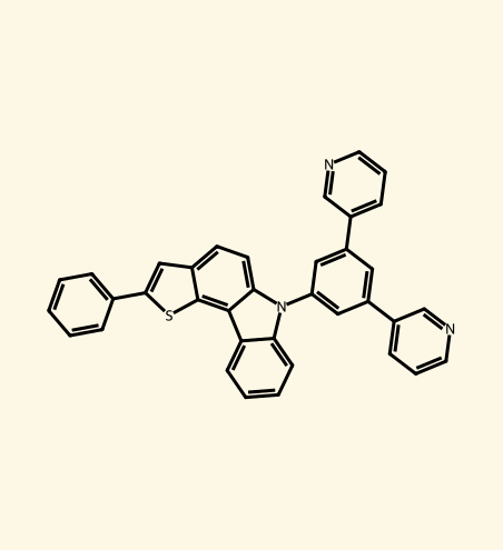 c1ccc(-c2cc3ccc4c(c5ccccc5n4-c4cc(-c5cccnc5)cc(-c5cccnc5)c4)c3s2)cc1